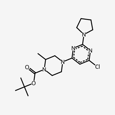 CC1CN(c2cc(Cl)nc(N3CCCC3)n2)CCN1C(=O)OC(C)(C)C